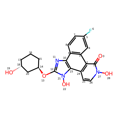 O=c1c2c3cc(F)ccc3c3nc(O[C@@H]4CCC[C@@H](O)C4)n(O)c3c2ccn1O